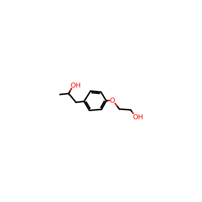 C[C](O)Cc1ccc(OCCO)cc1